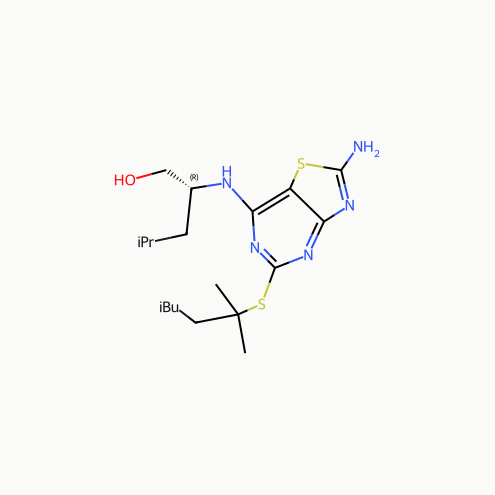 CCC(C)CC(C)(C)Sc1nc(N[C@@H](CO)CC(C)C)c2sc(N)nc2n1